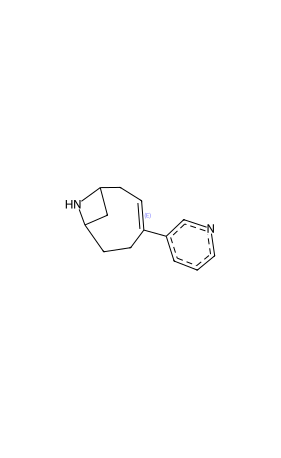 C1=C(/c2cccnc2)CCC2CC(C/1)N2